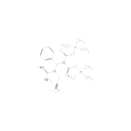 C#CCN(C(=N)N)C(c1ccccc1)N(C(=O)OC(C)(C)C)C(=O)OC(C)(C)C